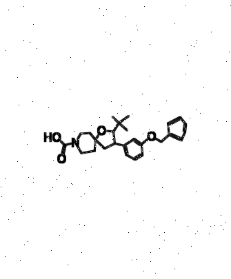 CC(C)(C)C1OC2(CCN(C(=O)O)CC2)CC1c1cccc(OCc2ccccc2)c1